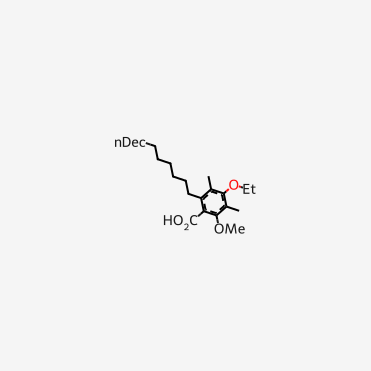 CCCCCCCCCCCCCCCCc1c(C)c(OCC)c(C)c(OC)c1C(=O)O